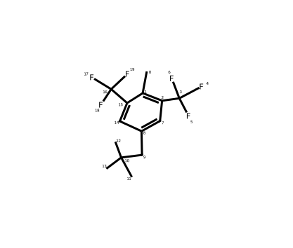 Cc1c(C(F)(F)F)cc(CC(C)(C)C)cc1C(F)(F)F